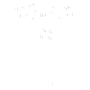 CCCCOc1ccc(-c2nnn(C[C@@H](CC(=O)OC(C)(C)C)NC(=O)OC(C)(C)C)n2)cc1